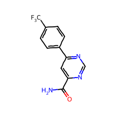 NC(=O)c1cc(-c2ccc(C(F)(F)F)cc2)ncn1